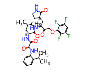 CC(C)C[C@H](NC(=O)C(=O)Nc1ccccc1C(C)C)C(=O)N[C@@H](C[C@@H]1CCNC1=O)C(=O)COc1c(F)c(F)cc(F)c1F